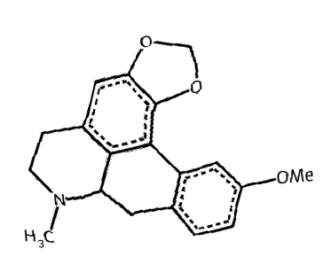 COc1ccc2c(c1)-c1c3c(cc4c1C(C2)N(C)CC4)OCO3